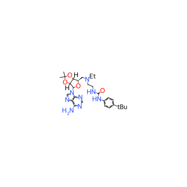 CCN(CCNC(=O)Nc1ccc(C(C)(C)C)cc1)C[C@H]1OC(n2cnc3c(N)ncnc32)[C@@H]2OC(C)(C)O[C@H]12